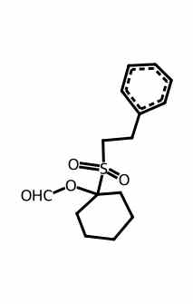 O=COC1(S(=O)(=O)CCc2ccccc2)CCCCC1